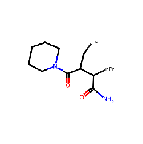 CCCC(C(N)=O)C(CC(C)C)C(=O)N1CCCCC1